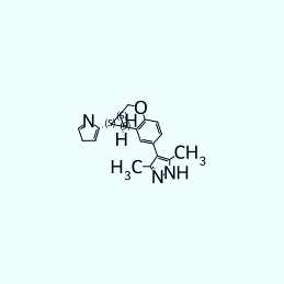 Cc1n[nH]c(C)c1-c1ccc2c(c1)[C@@H]1[C@H](CO2)[C@H]1C1=CCC=N1